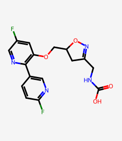 O=C(O)NCC1=NOC(COc2cc(F)cnc2-c2ccc(F)nc2)C1